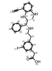 N#Cc1cccc2c1N[C@@H]([C@H](NCCc1cc(F)cc(CC(=O)O)c1)c1ccccc1)CN2